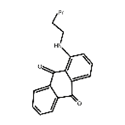 CC(C)CCNc1cccc2c1C(=O)c1ccccc1C2=O